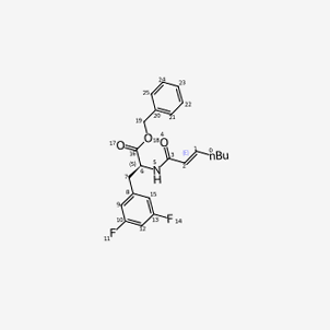 CCCC/C=C/C(=O)N[C@@H](Cc1cc(F)cc(F)c1)C(=O)OCc1ccccc1